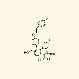 CC1(C)CCN(c2c(-c3ccc(OCCc4ccc(F)cc4)cc3)c(CO)nc(Cl)c2C(OC(C)(C)C)C(=O)O)CC1